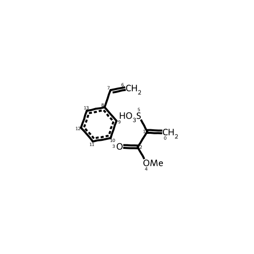 C=C(C(=O)OC)S(=O)(=O)O.C=Cc1ccccc1